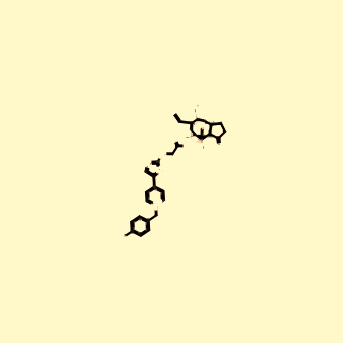 C=C[C@]1(C)C[C@@H](OC(=O)CSc2nc(-c3cc[n+](Cc4ccc(Cl)cc4)cc3)cs2)[C@]2(C)[C@H](C)CC[C@]3(CCC(=O)[C@H]32)[C@@H](C)[C@@H]1O